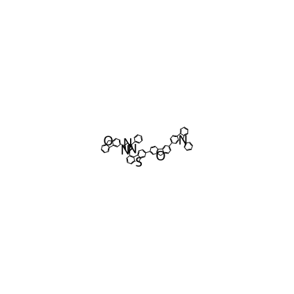 c1ccc(-c2nc(-c3ccc4oc5ccccc5c4c3)nc(-c3cccc4sc5cc(-c6ccc7c(c6)oc6ccc(-c8ccc9c%10ccccc%10n(-c%10ccccc%10)c9c8)cc67)ccc5c34)n2)cc1